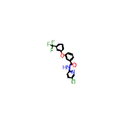 O=C(Nc1ccc(Cl)cn1)c1cccc(Oc2cccc(C(F)(F)F)c2)c1